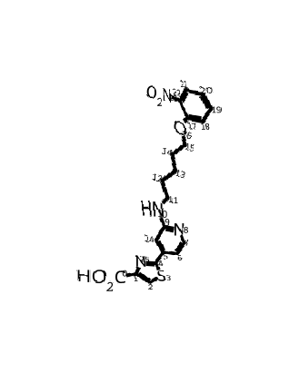 O=C(O)c1csc(-c2ccnc(NCCCCCOc3ccccc3[N+](=O)[O-])c2)n1